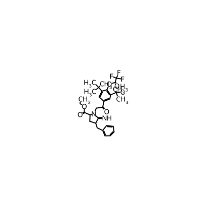 CCOC(=O)C1CC(Cc2ccccc2)C(=N)N1CC(=O)c1cc(C(C)(C)C)c(OC(=O)C(F)(F)F)c(C(C)(C)C)c1